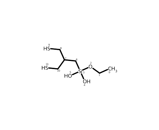 CCO[Si](O)(O)CC(CS)CS